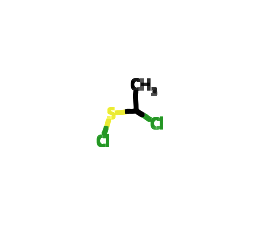 CC(Cl)SCl